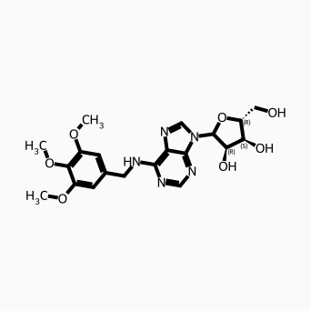 COc1cc(CNc2ncnc3c2ncn3C2O[C@H](CO)[C@@H](O)[C@H]2O)cc(OC)c1OC